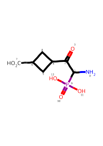 NC(C(=O)C1CC(C(=O)O)C1)P(=O)(O)O